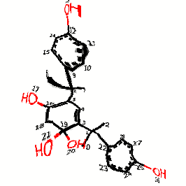 CC(C)(C1=CC(C(C)(C)c2ccc(O)cc2)=C(O)CC1(O)O)c1ccc(O)cc1